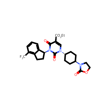 CCOC(=O)c1cn([C@H]2CC[C@H](N3CCOC3=O)CC2)c(=O)n([C@H]2CCc3c2cccc3C(F)(F)F)c1=O